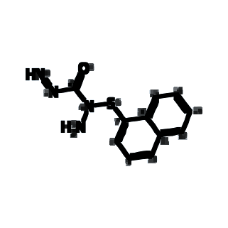 N=NC(=O)N(N)Sc1cccc2ccccc12